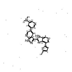 Cc1ccc(-c2cncc3[nH]c(-c4n[nH]c5ncc(-c6cncc(N(C)C)c6)cc45)nc23)s1